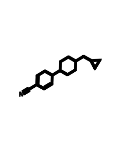 N#CC1=CCC(C2CCC(CC3CC3)CC2)C=C1